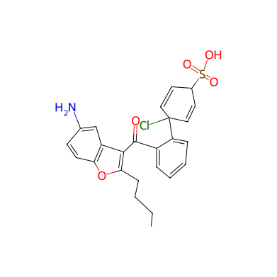 CCCCc1oc2ccc(N)cc2c1C(=O)c1ccccc1C1(Cl)C=CC(S(=O)(=O)O)C=C1